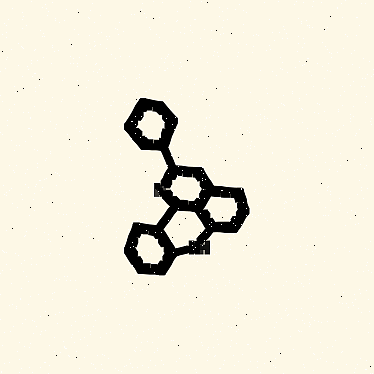 c1ccc(-c2cc3cccc4c3c(n2)-c2ccccc2N4)cc1